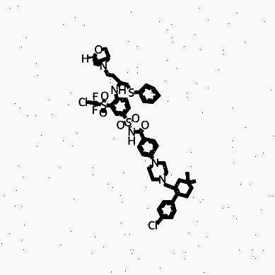 CC1(C)CCC(c2ccc(Cl)cc2)=C(CN2CCN(c3ccc(C(=O)NS(=O)(=O)c4ccc(NC(CCN5C[C@H]6CC5CO6)CSc5ccccc5)c(S(=O)(=O)C(F)(F)Cl)c4)cc3)CC2)C1